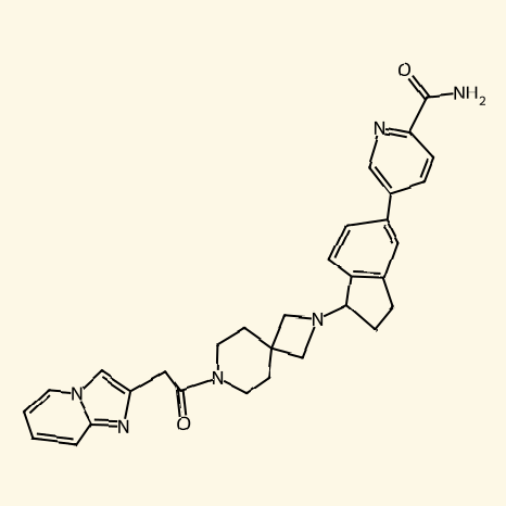 NC(=O)c1ccc(-c2ccc3c(c2)CCC3N2CC3(CCN(C(=O)Cc4cn5ccccc5n4)CC3)C2)cn1